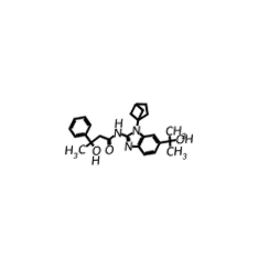 CC(C)(O)c1ccc2nc(NC(=O)CC(C)(O)c3ccccc3)n(C34CCC(C3)C4)c2c1